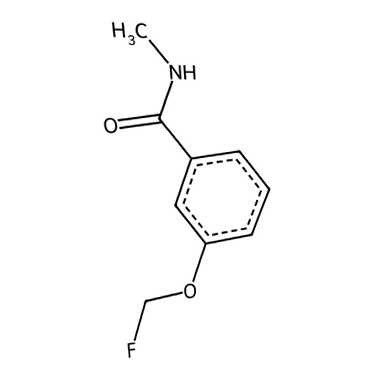 CNC(=O)c1cccc(OCF)c1